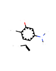 C=CC(=O)O.CCN(CC)c1ccc(C=O)c(O)c1